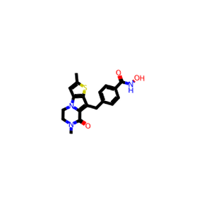 Cc1cc2c(s1)c(Cc1ccc(C(=O)NO)cc1)c1n2CCN(C)C1=O